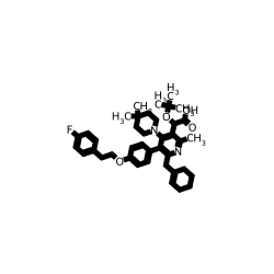 Cc1nc(CC2=CCCCC2)c(-c2ccc(OCCc3ccc(F)cc3)cc2)c(N2CCC(C)(C)CC2)c1C(OC(C)(C)C)C(=O)O